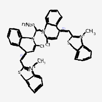 CCCCCCCCCC(N1C(Cl)=C/C(=C\c2sc3ccccc3[n+]2C)c2ccccc21)N1C(Cl)=C/C(=C\c2sc3ccccc3[n+]2C)c2ccccc21